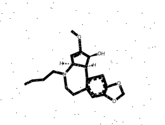 CCCCN1CCc2cc3c(cc2[C@@H]2[C@H](O)C(OC)=C[C@@H]21)OCO3